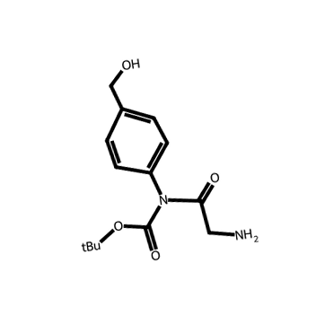 CC(C)(C)OC(=O)N(C(=O)CN)c1ccc(CO)cc1